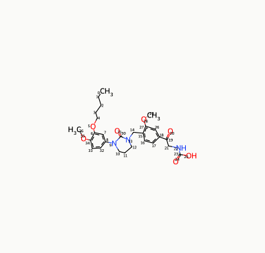 CCCCCOc1cc(N2CCCN(Cc3ccc(C(=O)CNC(=O)O)cc3OC)C2=O)ccc1OC